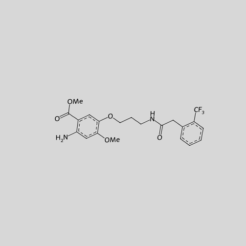 COC(=O)c1cc(OCCCNC(=O)Cc2ccccc2C(F)(F)F)c(OC)cc1N